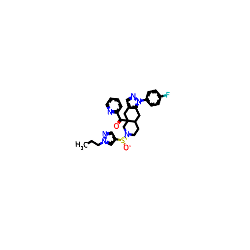 CCCn1cc([S+]([O-])N2CCC3Cc4c(cnn4-c4ccc(F)cc4)CC3(C(=O)c3ccccn3)C2)cn1